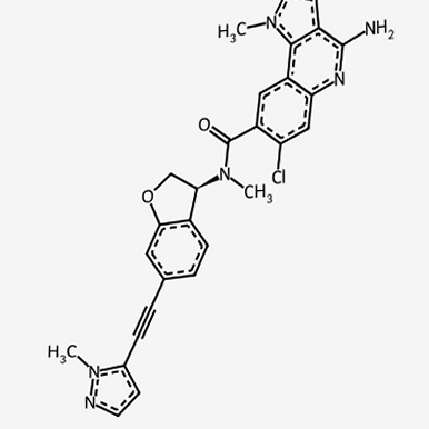 CN(C(=O)c1cc2c(cc1Cl)nc(N)c1cnn(C)c12)[C@@H]1COc2cc(C#Cc3ccnn3C)ccc21